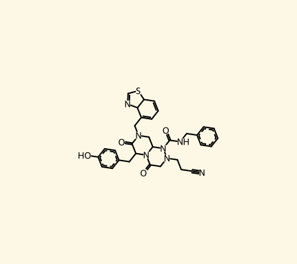 N#CCCN1CC(=O)N2C(Cc3ccc(O)cc3)C(=O)N(CC3=CC=CC4SC=NC34)CC2N1C(=O)NCc1ccccc1